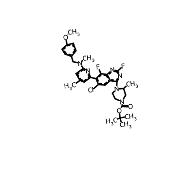 COc1ccc(CN(C)c2cc(C)cc(-c3c(Cl)cc4c(N5CCN(C(=O)OC(C)(C)C)CC5C)nc(F)nc4c3F)n2)cc1